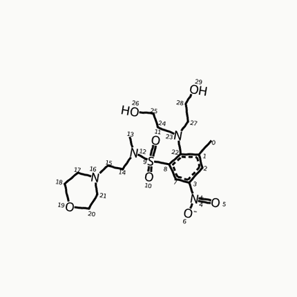 Cc1cc([N+](=O)[O-])cc(S(=O)(=O)N(C)CCN2CCOCC2)c1N(CCO)CCO